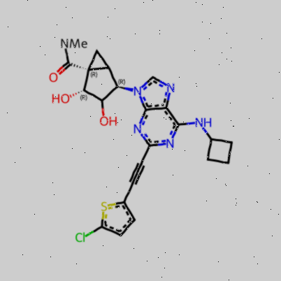 CNC(=O)[C@]12CC1[C@@H](n1cnc3c(NC4CCC4)nc(C#Cc4ccc(Cl)s4)nc31)C(O)[C@@H]2O